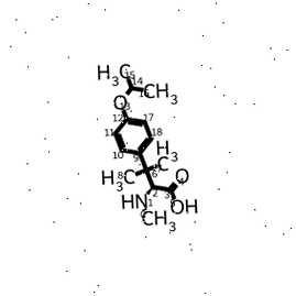 CN[C@H](C(=O)O)C(C)(C)c1ccc(OC(C)C)cc1